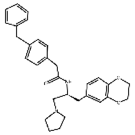 O=C(Cc1ccc(Cc2ccccc2)cc1)N[C@@H](Cc1ccc2c(c1)OCCO2)CN1CCCC1